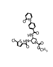 COC(=O)N1C[C@H](NC(=O)c2ccc(-n3ccccc3=O)cc2)[C@H](NC(=O)c2ccc(Cl)s2)C1